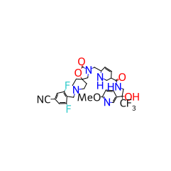 COc1ccc(C(O)(CNC(=O)C2C=CC(CN3CC4(CCN(Cc5c(F)cc(C#N)cc5F)CC4)OC3=O)NC2)C(F)(F)F)cn1